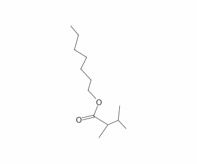 CCCCCCCOC(=O)C(C)C(C)C